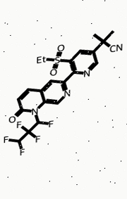 CCS(=O)(=O)c1cc(C(C)(C)C#N)cnc1-c1cc2ccc(=O)n(C(F)C(F)(F)C(F)F)c2cn1